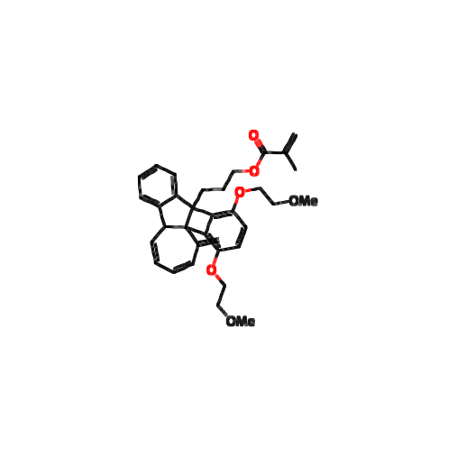 C=C(C)C(=O)OCCCC12c3ccccc3C3C=CC=CC(=C)C31c1c(OCCOC)ccc(OCCOC)c12